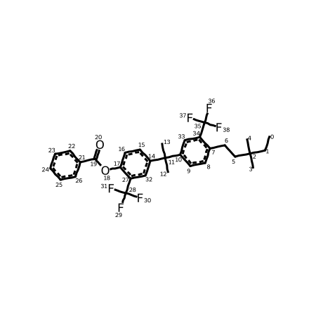 CCC(C)(C)CCc1ccc(C(C)(C)c2ccc(OC(=O)c3ccccc3)c(C(F)(F)F)c2)cc1C(F)(F)F